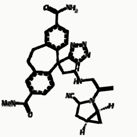 C=C(CNCCC1(c2nnn[nH]2)c2ccc(C(N)=O)cc2CCc2cc(C(=O)NC)ccc21)N1C(C#N)C[C@@H]2C[C@@H]21